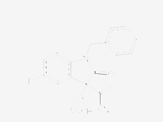 C=C(C#N)C1(OC(=O)O)C(=O)N(Cc2ccccc2)c2ccc(F)cc21